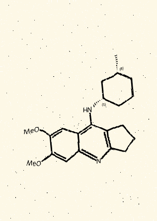 COc1cc2nc3c(c(N[C@H]4CCC[C@@H](C)C4)c2cc1OC)CCC3